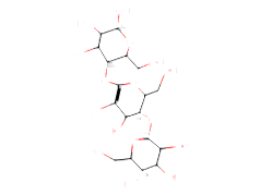 OCC1O[C@@H](O[C@@H]2C(CO)OC(O[C@@H]3C(CO)O[C@H](O)C(O)C3O)=C(O)C2O)C(O)C(O)[C@@H]1O